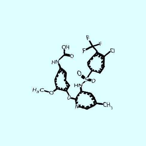 COc1cc(NC(=O)O)ccc1Oc1ncc(C)cc1NS(=O)(=O)c1ccc(Cl)c(C(F)(F)F)c1